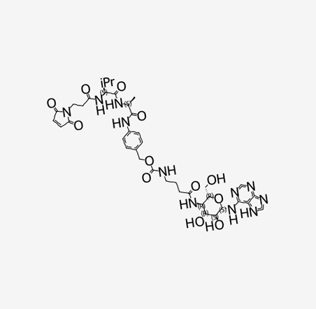 CC(C)[C@H](NC(=O)CCN1C(=O)C=CC1=O)C(=O)N[C@@H](C)C(=O)Nc1ccc(COC(=O)NCCCC(=O)N[C@@H]2[C@@H](O)[C@H](O)[C@@H](Nc3ncnc4nc[nH]c34)O[C@H]2CO)cc1